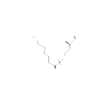 C=CC(=O)CCOC(C)(C)C(=C)CCCCCOC(C)(C)C